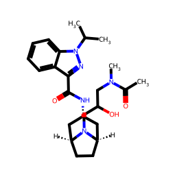 CC(=O)N(C)CC(O)CN1[C@@H]2CC[C@H]1C[C@H](NC(=O)c1nn(C(C)C)c3ccccc13)C2